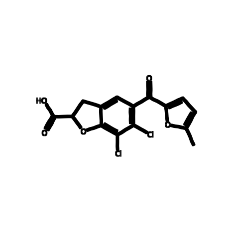 Cc1ccc(C(=O)c2cc3c(c(Cl)c2Cl)OC(C(=O)O)C3)o1